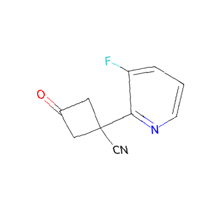 N#CC1(c2ncccc2F)CC(=O)C1